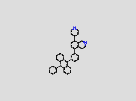 c1ccc(-c2c3ccccc3c(-c3cccc(-c4ccc(-c5ccncc5)c5cnccc45)c3)c3ccccc23)cc1